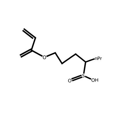 C=CC(=C)OCCCC(CCC)S(=O)O